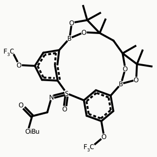 CC(C)COC(=O)CN=S1(=O)c2cc(OC(F)(F)F)cc(c2)B2OC(C)(C)C(C)(CC3(C)OB(OC3(C)C)c3cc(OC(F)(F)F)cc1c3)O2